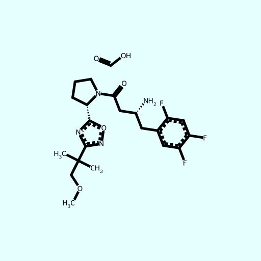 COCC(C)(C)c1noc([C@@H]2CCCN2C(=O)C[C@H](N)Cc2cc(F)c(F)cc2F)n1.O=CO